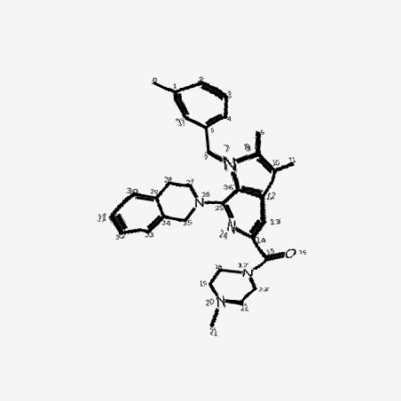 Cc1cccc(Cn2c(C)c(C)c3cc(C(=O)N4CCN(C)CC4)nc(N4CCc5ccccc5C4)c32)c1